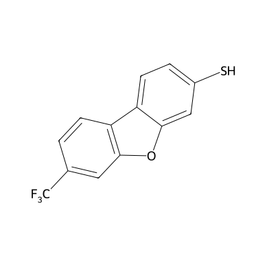 FC(F)(F)c1ccc2c(c1)oc1cc(S)ccc12